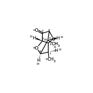 C[C@@H]1C2OC3C(=O)[C@H]2O[C@H]1[C@H]3C